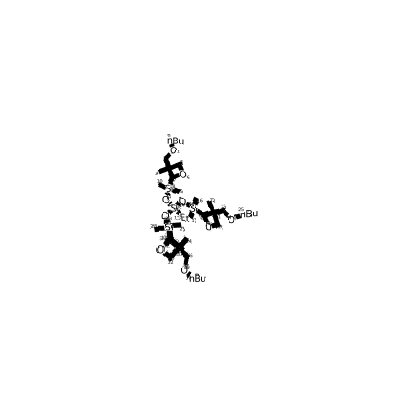 CCCCOCC1(C)COC1[Si](C)(C)O[Si](CC)(O[Si](C)(C)C1OCC1(C)COCCCC)O[Si](C)(C)C1OCC1(C)COCCCC